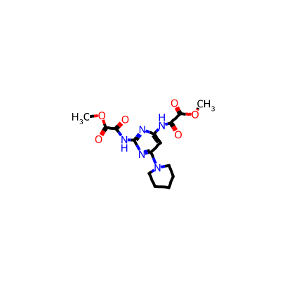 COC(=O)C(=O)Nc1cc(N2CCCCC2)nc(NC(=O)C(=O)OC)n1